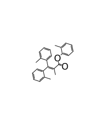 CC(C(=O)Oc1ccccc1C)=C(c1ccccc1C)c1ccccc1C